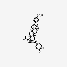 C=C(C)[C@@H]1CC[C@]2(NC(=O)N3CCNC(=O)CC3)CC[C@]3(C)[C@H](CC[C@@H]4[C@@]5(C)CC=C(c6ccc(C(=O)O)cc6)C(C)(C)[C@@H]5CC[C@]43C)[C@@H]12